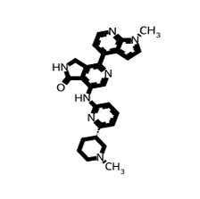 CN1CCC[C@H](c2cccc(Nc3cnc(-c4ccnc5c4ccn5C)c4c3C(=O)NC4)n2)C1